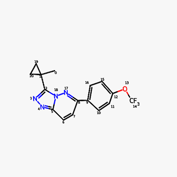 CC1(c2nnc3ccc(-c4ccc(OC(F)(F)F)cc4)nn23)CC1